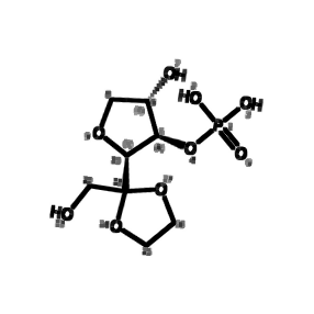 O=P(O)(O)O[C@@H]1[C@@H](O)CO[C@@H]1C1(CO)OCCO1